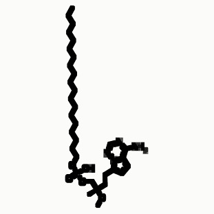 CCCCCCCCCCCCCCCCCCCOP(=O)(O)OC[C@](C)(CCc1ccc2c(N)ncnn12)OC